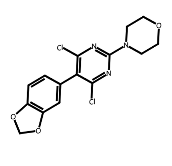 Clc1nc(N2CCOCC2)nc(Cl)c1-c1ccc2c(c1)OCO2